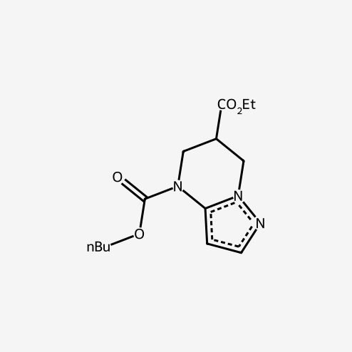 CCCCOC(=O)N1CC(C(=O)OCC)Cn2nccc21